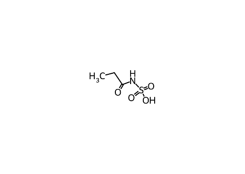 CCC(=O)NS(=O)(=O)O